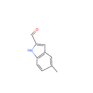 Cc1ccc2[nH]c([C]=O)cc2c1